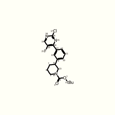 CC(C)(C)OC(=O)N1CCCC(c2cccc(-c3nc(Cl)ncc3F)c2)C1